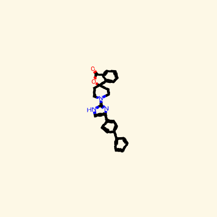 O=C1OC2(CCN(c3nc(-c4ccc(-c5ccccc5)cc4)c[nH]3)CC2)c2ccccc21